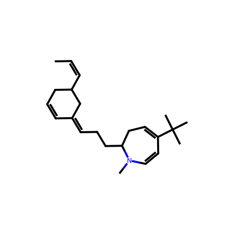 C/C=C\C1CC=C/C(=C/CCC2CC=C(C(C)(C)C)C=CN2C)C1